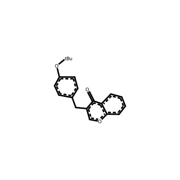 CC(C)(C)Oc1ccc(Cc2coc3ccccc3c2=O)cc1